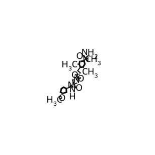 COc1cccc(C2=NC3(CN(S(=O)(=O)CCc4c(C)cc(N(C)C(N)=O)cc4C)C3)C(=O)N2)c1